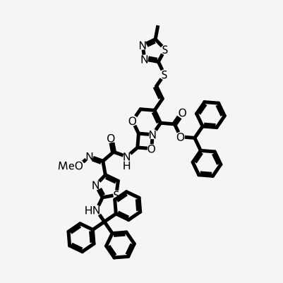 CO/N=C(/C(=O)NC1ON2C(C(=O)OC(c3ccccc3)c3ccccc3)=C(/C=C/Sc3nnc(C)s3)COC12)c1csc(NC(c2ccccc2)(c2ccccc2)c2ccccc2)n1